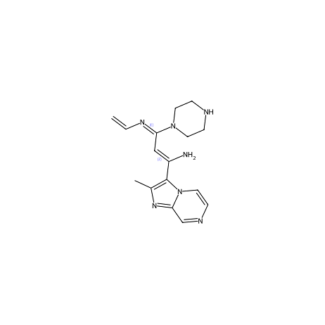 C=C/N=C(\C=C(/N)c1c(C)nc2cnccn12)N1CCNCC1